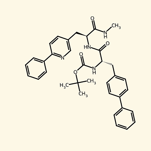 CNC(=O)[C@H](Cc1ccc(-c2ccccc2)nc1)NC(=O)[C@H](Cc1ccc(-c2ccccc2)cc1)NC(=O)OC(C)(C)C